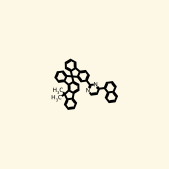 CC1(C)c2ccccc2-c2ccc3c(c21)-c1ccccc1C31c2ccccc2-c2ccc(-c3nccc(-c4cccc5ccccc45)n3)cc21